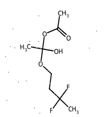 CC(=O)OC(C)(O)OCCC(C)(F)F